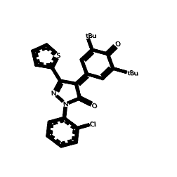 CC(C)(C)C1=CC(=C2C(=O)N(c3ccccc3Cl)N=C2c2cccs2)C=C(C(C)(C)C)C1=O